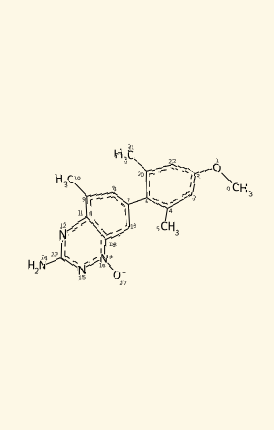 COc1cc(C)c(-c2cc(C)c3nc(N)n[n+]([O-])c3c2)c(C)c1